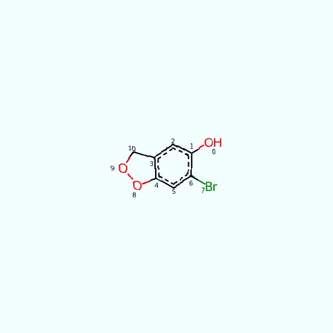 Oc1cc2c(cc1Br)OOC2